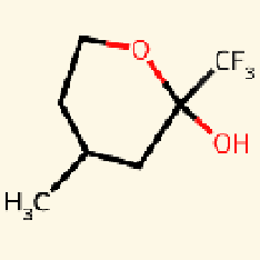 CC1CCOC(O)(C(F)(F)F)C1